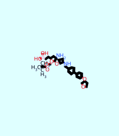 CC(C)(C)C(=O)OCOC(=O)C(N)(CCCCB(O)O)[C@H]1C[C@@H](NCc2ccc(-c3ccc(OC4CCOC4)cc3)cc2)C1